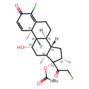 CCCCC(=O)O[C@@]1(C(=O)CF)[C@@H](C)C[C@H]2[C@@H]3CCC4=C(F)C(=O)C=C[C@]4(C)[C@@]3(F)[C@@H](O)C[C@@]21C